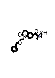 C/C(=N/O)C(=O)c1ccc2c(c1)CCC(=O)N2CCOCc1ccccc1